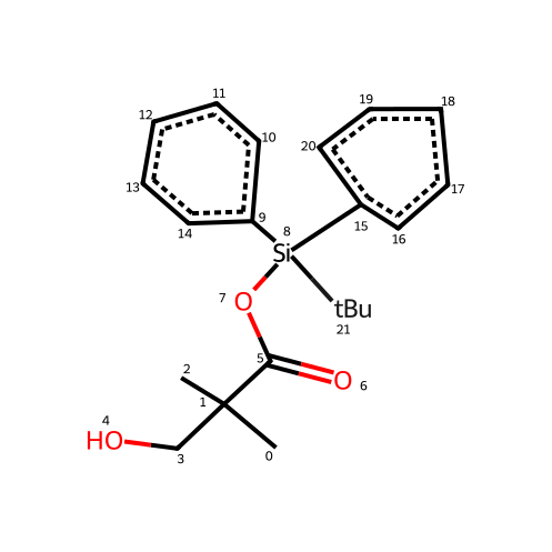 CC(C)(CO)C(=O)O[Si](c1ccccc1)(c1ccccc1)C(C)(C)C